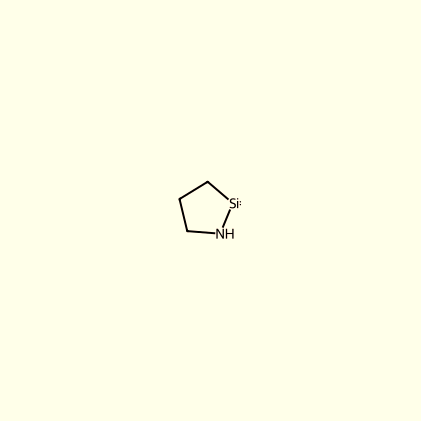 C1CN[Si]C1